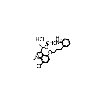 C[C@@H](OC=O)c1cn(C)c2c(Cl)ccc(OCCCc3ccccc3N)c12.Cl